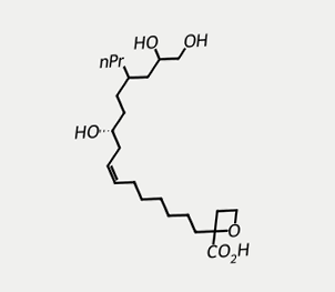 CCCC(CC[C@@H](O)C/C=C\CCCCCCC1(C(=O)O)CCO1)CC(O)CO